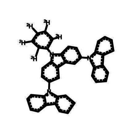 [2H]c1c([2H])c([2H])c(-n2c3ccc(-n4c5ccccc5c5ccccc54)cc3c3cc(-n4c5ccccc5c5ccccc54)ccc32)c([2H])c1[2H]